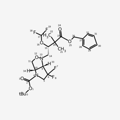 CC(C)(C)OC(=O)N1CC(F)(F)[C@@H]2[C@H]1CON2C[C@H](OC(F)F)C(C)(C)C(=O)OCc1ccccc1